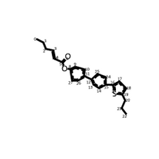 CCC/C=C/C(=O)Oc1ccc(-c2ccc(-c3ccc(CCC)s3)cc2)cc1